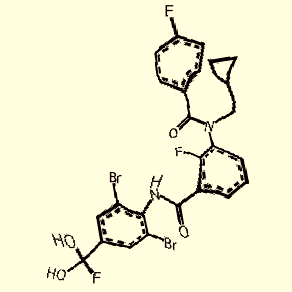 O=C(Nc1c(Br)cc(C(O)(O)F)cc1Br)c1cccc(N(CC2CC2)C(=O)c2ccc(F)cc2)c1F